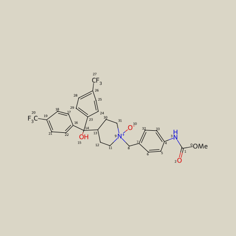 COC(=O)Nc1ccc(C[N+]2([O-])CCC(C(O)(c3ccc(C(F)(F)F)cc3)c3ccc(C(F)(F)F)cc3)CC2)cc1